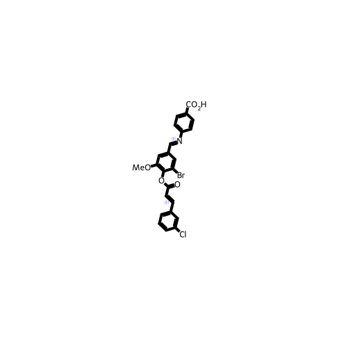 COc1cc(/C=N/c2ccc(C(=O)O)cc2)cc(Br)c1OC(=O)/C=C/c1cccc(Cl)c1